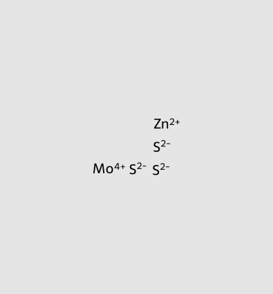 [Mo+4].[S-2].[S-2].[S-2].[Zn+2]